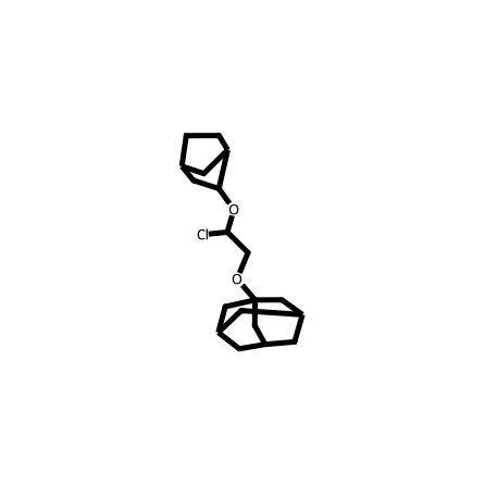 ClC(COC12CC3CC(CC(C3)C1)C2)OC1CC2CCC1C2